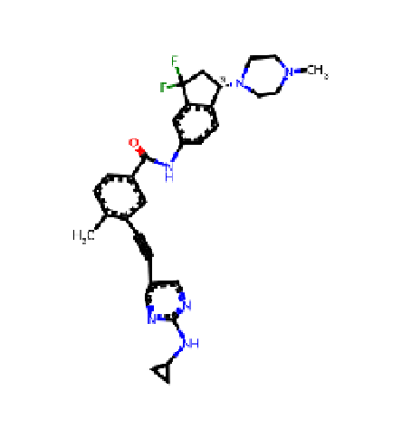 Cc1ccc(C(=O)Nc2ccc3c(c2)C(F)(F)C[C@@H]3N2CCN(C)CC2)cc1C#Cc1cnc(NC2CC2)nc1